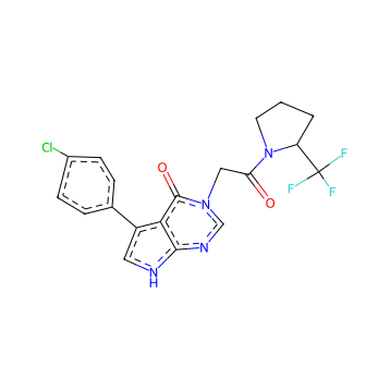 O=C(Cn1cnc2[nH]cc(-c3ccc(Cl)cc3)c2c1=O)N1CCCC1C(F)(F)F